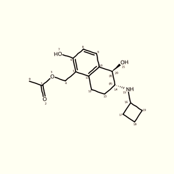 CC(=O)OCc1c(O)ccc2c1CC[C@@H](NC1CCC1)[C@@H]2O